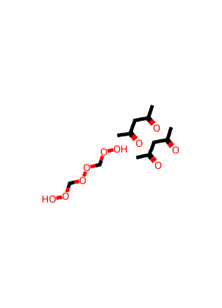 CC(=O)CC(C)=O.CC(=O)CC(C)=O.OOCOOCOO